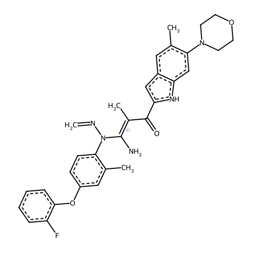 C=NN(/C(N)=C(\C)C(=O)c1cc2cc(C)c(N3CCOCC3)cc2[nH]1)c1ccc(Oc2ccccc2F)cc1C